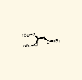 CCCCOCC(OCCCC)OCCCC